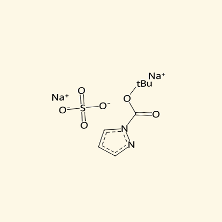 CC(C)(C)OC(=O)n1cccn1.O=S(=O)([O-])[O-].[Na+].[Na+]